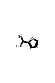 CCC(C)C(O)c1ccco1